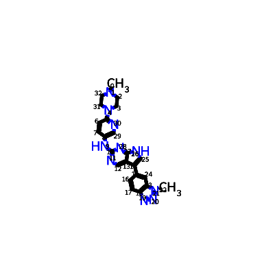 CN1CCN(c2ccc(Nc3ncc4c(-c5ccc6nnn(C)c6c5)c[nH]c4n3)cn2)CC1